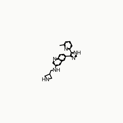 Cc1cccc(-c2[nH]cnc2-c2ccc3ncc(NCC4CNC4)cc3c2)n1